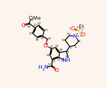 CCS(=O)(=O)N1CCC(C2CNc3c(C(N)=O)cc(OCc4ccc(C(=O)OC)cc4)cc32)CC1